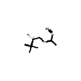 CC(N=N)SC[C@@H](C)C(C)(C)C